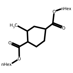 CCCCCCOC(=O)C1CCC(C(=O)OCCCCCC)C(C)C1